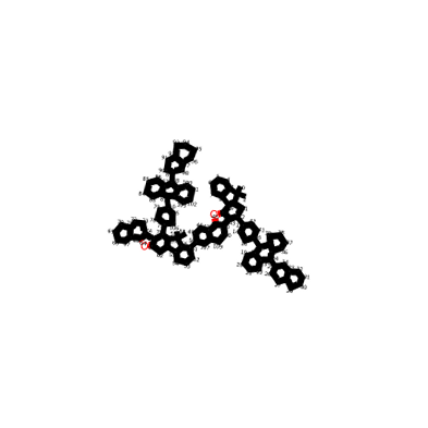 CC1(C)c2ccccc2-c2c1cc(-c1ccc(-c3c4ccccc4c(-c4ccc5ccccc5c4)c4ccccc34)cc1)c1c2oc2c3ccc(-c4cccc5c4C(C)(C)c4c-5cc5oc6c7ccccc7ccc6c5c4-c4ccc(-c5c6ccccc6c(-c6ccc7ccccc7c6)c6ccccc56)cc4)cc3ccc21